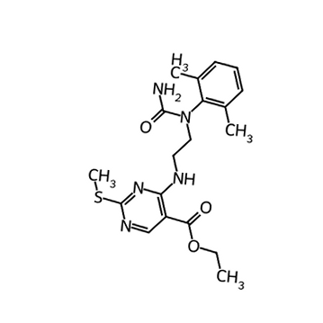 CCOC(=O)c1cnc(SC)nc1NCCN(C(N)=O)c1c(C)cccc1C